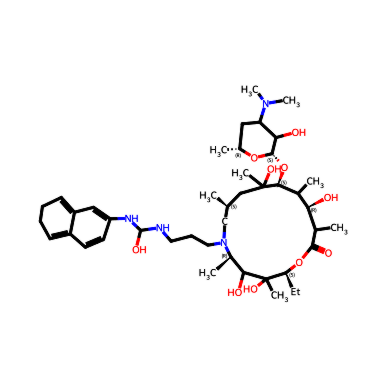 CC[C@@H]1OC(=O)C(C)[C@H](O)C(C)[C@H](O[C@@H]2O[C@H](C)CC(N(C)C)C2O)C(C)(O)C[C@H](C)CN(CCCNC(O)Nc2ccc3c(c2)=CCCC=3)[C@H](C)C(O)C1(C)O